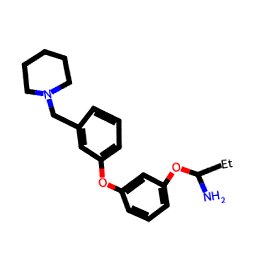 CCC(N)Oc1cccc(Oc2cccc(CN3CCCCC3)c2)c1